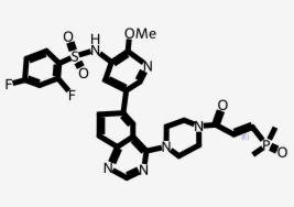 COc1ncc(-c2ccc3ncnc(N4CCN(C(=O)/C=C/P(C)(C)=O)CC4)c3c2)cc1NS(=O)(=O)c1ccc(F)cc1F